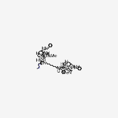 C=C(/C=C\C=C/C)[C@H](NC(=O)[C@@H]1CC[C@@H]2CC[C@H](CCNCc3ccccc3)[C@H](NC(=O)[C@H](C)NC)C(=O)N21)C(=O)NCCCCCCCCNC(=O)C(NC(=O)[C@@H]1CC[C@@H]2CC[C@H](CCNCc3ccccc3)[C@H](NC(=O)[C@H](C)NC)C(=O)N21)c1ccccc1